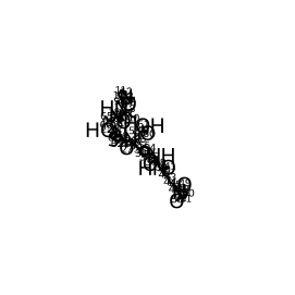 CC[C@H](C)[C@H](NC(=O)[C@@]1(C)CCCN1C)C(=O)N(C)[C@H](C[C@@H](O)c1nc(C(=O)N[C@@H](Cc2ccc(NC(=O)CNC(=O)CCCCCN3C(=O)C=CC3=O)cc2)C[C@H](C)C(=O)O)cs1)C(C)C